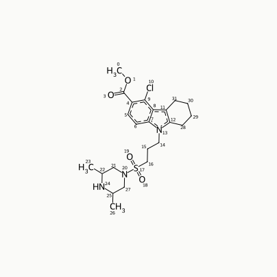 COC(=O)c1ccc2c(c1Cl)c1c(n2CCCS(=O)(=O)N2CC(C)NC(C)C2)CCCC1